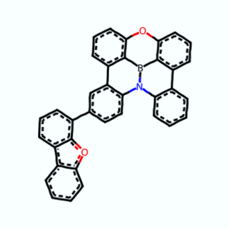 c1ccc2c(c1)-c1cccc3c1B1c4c(cccc4-c4cc(-c5cccc6c5oc5ccccc56)ccc4N12)O3